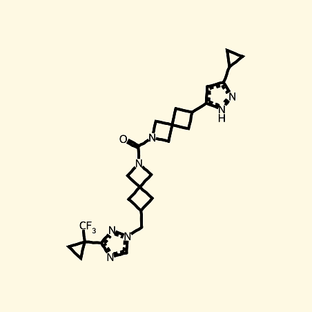 O=C(N1CC2(CC(Cn3cnc(C4(C(F)(F)F)CC4)n3)C2)C1)N1CC2(CC(c3cc(C4CC4)n[nH]3)C2)C1